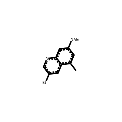 CCc1cnc2cc(NC)cc(C)c2c1